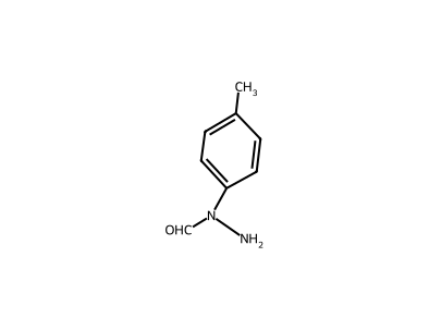 Cc1ccc(N(N)C=O)cc1